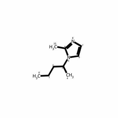 CCCC(C)n1ccnc1C